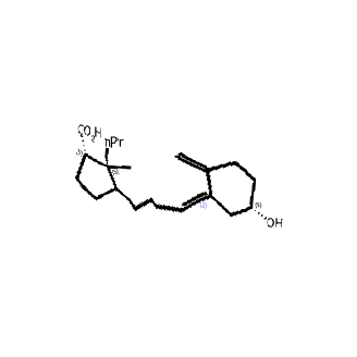 C=C1CC[C@H](O)C/C1=C/CCC1CC[C@H](C(=O)O)[C@@]1(C)CCC